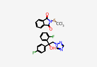 O=C1c2ccccc2C(=O)N1SC(Cl)(Cl)Cl.OC(Cn1cncn1)(c1ccc(F)cc1)c1ccccc1F